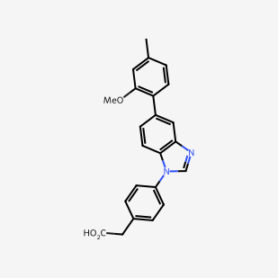 COc1cc(C)ccc1-c1ccc2c(c1)ncn2-c1ccc(CC(=O)O)cc1